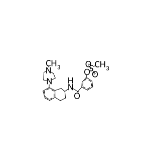 CN1CCN(c2cccc3c2CC(NC(=O)c2cccc(OS(C)(=O)=O)c2)CC3)CC1